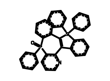 O=P1(c2ccccc2)c2cccnc2C2=C(c3ncccc31)[Si](c1ccccc1)(c1ccccc1)c1ccccc12